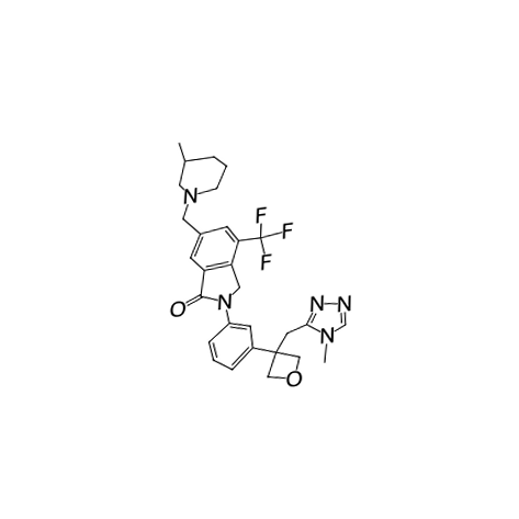 CC1CCCN(Cc2cc3c(c(C(F)(F)F)c2)CN(c2cccc(C4(Cc5nncn5C)COC4)c2)C3=O)C1